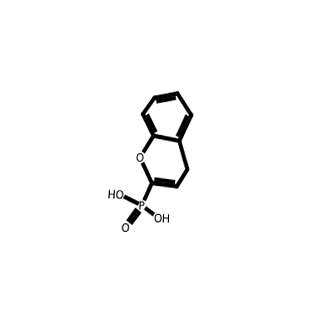 O=P(O)(O)C1=CCc2ccccc2O1